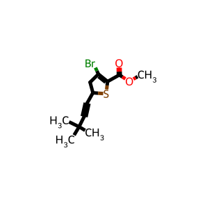 COC(=O)C1=C(Br)CC(C#CC(C)(C)C)S1